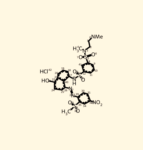 CNCCN(C)S(=O)(=O)c1cccc(S(=O)(=O)Nc2cccc3c(O)ccc(N=Nc4ccc([N+](=O)[O-])cc4S(C)(=O)=O)c23)c1.Cl